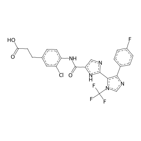 O=C(O)CCc1ccc(NC(=O)c2cnc(-c3c(-c4ccc(F)cc4)ncn3C(F)(F)F)[nH]2)c(Cl)c1